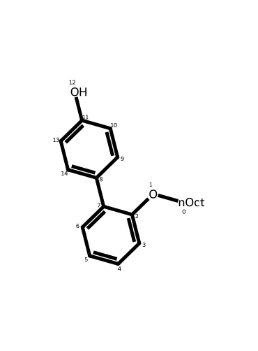 CCCCCCCCOc1ccccc1-c1ccc(O)cc1